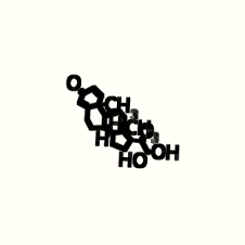 C[C@]12C=CC(=O)C=C1CC[C@@H]1C2=CC[C@]2(C)[C@@H](C(=O)C(O)O)CC[C@@H]12